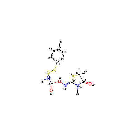 Cc1ccc(SSN(C)C(=O)ON=C2SC(C)(C)C(=O)N2C)cc1